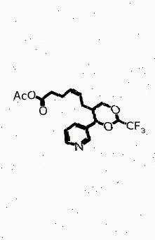 CC(=O)OC(=O)CC/C=C\CC1COC(C(F)(F)F)OC1c1cccnc1